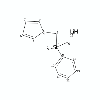 C[Si](C)(C[C]1C=CC=C1)c1ccccc1.[LiH]